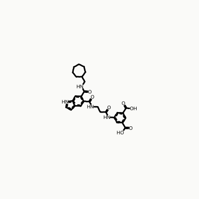 O=C(CCNC(=O)c1cc2cc[nH]c2cc1C(=O)NCC1CCCCCC1)Nc1cc(C(=O)O)cc(C(=O)O)c1